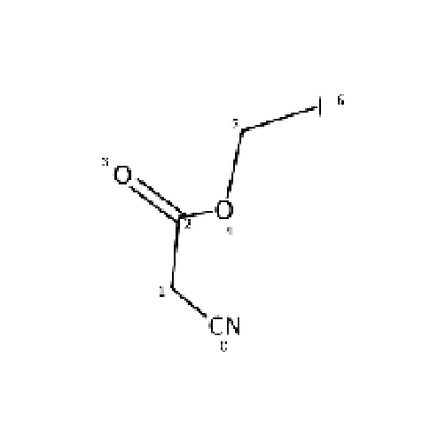 N#CCC(=O)OCI